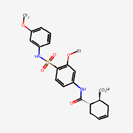 CCOc1cc(NC(=O)[C@H]2CC=CC[C@@H]2C(=O)O)ccc1S(=O)(=O)Nc1cccc(OC(F)(F)F)c1